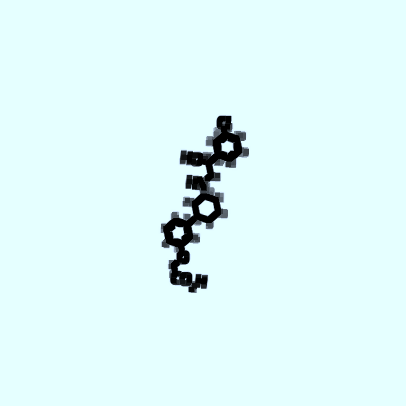 O=C(O)COc1cccc([C@@H]2CCC[C@@H](NC[C@@H](O)c3cccc(Cl)c3)C2)c1